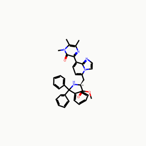 COC(=O)[C@H](Cc1ccc(-c2nc(C)c(C)n(C)c2=O)c2nccn12)NC(c1ccccc1)(c1ccccc1)c1ccccc1